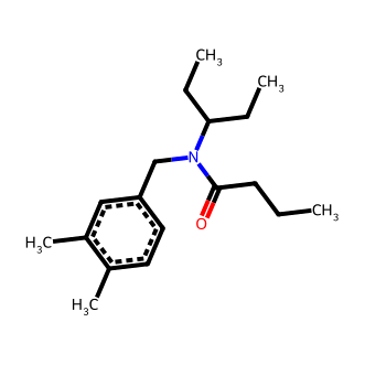 CCCC(=O)N(Cc1ccc(C)c(C)c1)C(CC)CC